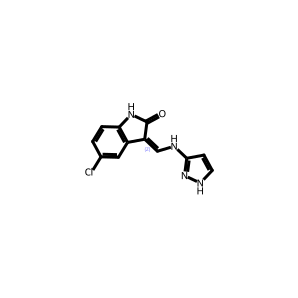 O=C1Nc2ccc(Cl)cc2/C1=C/Nc1cc[nH]n1